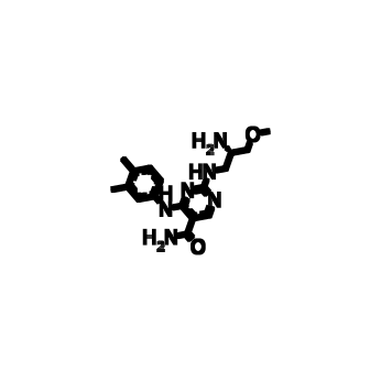 COC[C@H](N)CNc1ncc(C(N)=O)c(Nc2ccc(C)c(C)c2)n1